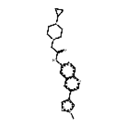 Cn1cc(-c2cnc3cnc(NC(=O)CN4CCN(C5CC5)CC4)cc3c2)cn1